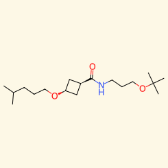 CC(C)CCCO[C@H]1C[C@@H](C(=O)NCCCOC(C)(C)C)C1